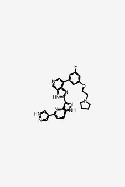 Fc1cc(OCCN2CCCC2)cc(-c2cncc3[nH]c(-c4n[nH]c5ccc(-c6cn[nH]c6)nc45)nc23)c1